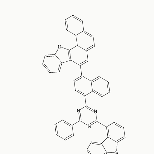 C1=CC2=CC=C3C=C(c4ccc(-c5nc(-c6ccccc6)nc(-c6cccc7sc8ccccc8c67)n5)c5ccccc45)c4c(oc5ccccc45)C3C2C=C1